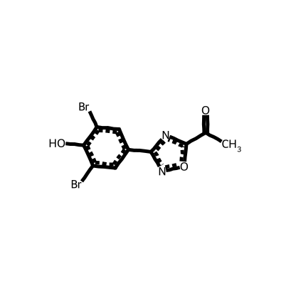 CC(=O)c1nc(-c2cc(Br)c(O)c(Br)c2)no1